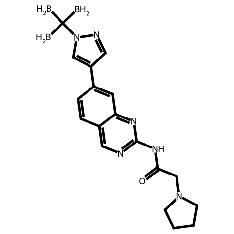 BC(B)(B)n1cc(-c2ccc3cnc(NC(=O)CN4CCCC4)nc3c2)cn1